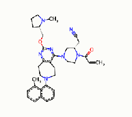 C=CC(=O)N1CCN(c2nc(OC[C@@H]3CCCN3C)nc3c2CCN(c2cccc4cccc(C)c24)CC3)C[C@@H]1CC#N